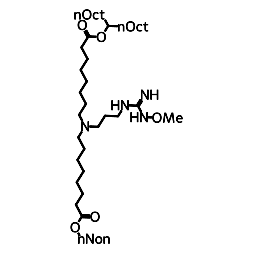 CCCCCCCCCOC(=O)CCCCCCCN(CCCCCCCC(=O)OC(CCCCCCCC)CCCCCCCC)CCCNC(=N)NOC